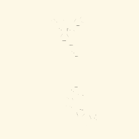 Cc1ncsc1-c1ccc(CNC(=O)[C@@H]2C[C@@H](O)CN2C(=O)[C@@H](NC(=O)CCCCCCCC(=O)N2CC=C(c3cc(NC(=O)c4c[nH]c(=O)cc4C(F)(F)F)c(N4C[C@@H](C)N(C)[C@@H](C)C4)cc3F)CC2)C(C)(C)C)cc1